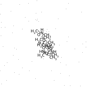 C=CC(=O)NC(C)CC(C)(C)OCC(C)C(C)(C)C(C)(C)OCNC(C)OCC(C)C(C)(C)NC(=O)C=C